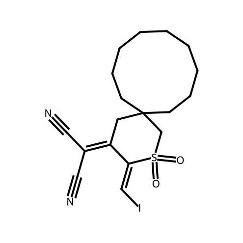 N#CC(C#N)=C1CC2(CCCCCCCCC2)CS(=O)(=O)/C1=C\I